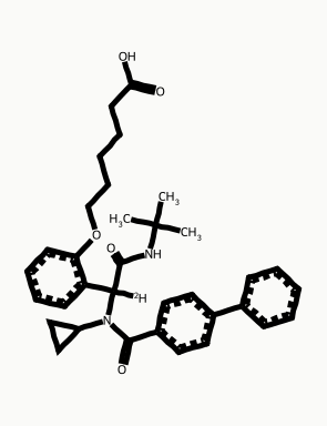 [2H]C(C(=O)NC(C)(C)C)(c1ccccc1OCCCCCC(=O)O)N(C(=O)c1ccc(-c2ccccc2)cc1)C1CC1